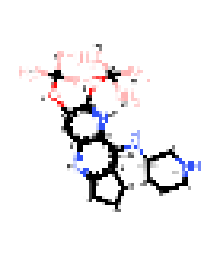 BC(B)(B)Oc1cc2nc3c(c(N[C@@H]4CCCNC4)c2nc1OC(B)(B)B)CCC3